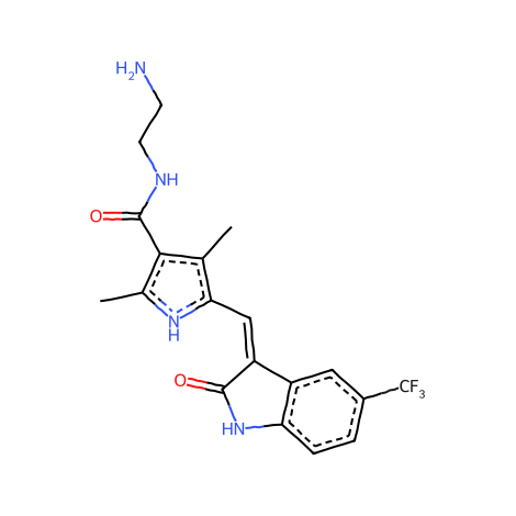 Cc1[nH]c(/C=C2\C(=O)Nc3ccc(C(F)(F)F)cc32)c(C)c1C(=O)NCCN